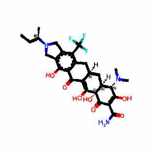 CC[C@@H](C)N1Cc2c(O)c3c(c(C(F)(F)F)c2C1)C[C@H]1C[C@H]2[C@H](N(C)C)C(O)=C(C(N)=O)C(=O)[C@@]2(O)C(O)=C1C3=O